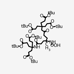 CC(CCC(=O)CC(CCC(=O)OC(C)(C)C)(CCC(=O)OC(C)(C)C)CCC(=O)OC(C)(C)C)(CCC(=O)NC(CCC(=O)OC(C)(C)C)(CCC(=O)OC(C)(C)C)CCC(=O)OC(C)(C)C)NOO